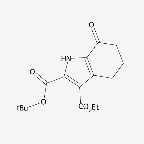 CCOC(=O)c1c(C(=O)OC(C)(C)C)[nH]c2c1CCCC2=O